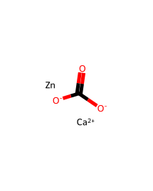 O=C([O-])[O-].[Ca+2].[Zn]